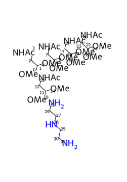 COC(CNC(C)=O)OC.COC(CNC(C)=O)OC.COC(CNC(C)=O)OC.COC(CNC(C)=O)OC.COC(CNC(C)=O)OC.NCCNCCN